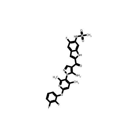 Cc1cc(Oc2cccc(F)c2F)nc(C)c1-n1ncc(C(=O)c2cc3cc(F)c(NS(C)(=O)=O)cc3[nH]2)c1N